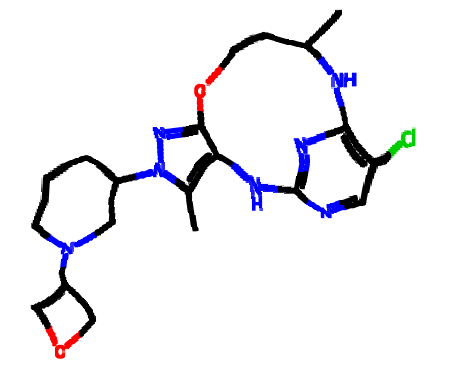 Cc1c2c(nn1C1CCCN(C3COC3)C1)OCCC(C)Nc1nc(ncc1Cl)N2